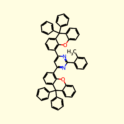 Cc1ccccc1-c1nc(-c2cccc3c2Oc2ccccc2C3(c2ccccc2)c2ccccc2)cc(-c2cccc3c2Oc2ccccc2C3(c2ccccc2)c2ccccc2)n1